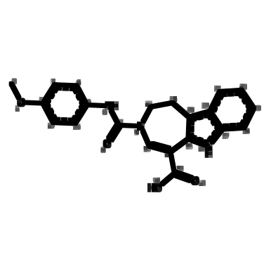 COc1ccc(NC(=O)N2C=C(C(=O)O)c3[nH]c4ccccc4c3CC2)cc1